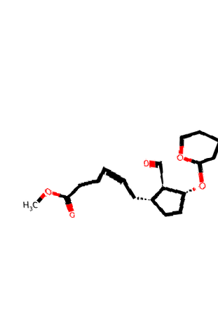 COC(=O)CC/C=C\C[C@H]1CC[C@@H](OC2CCCCO2)[C@@H]1C=O